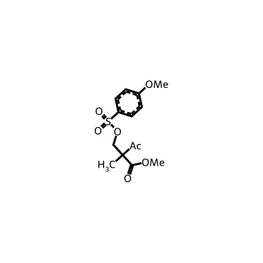 COC(=O)C(C)(COS(=O)(=O)c1ccc(OC)cc1)C(C)=O